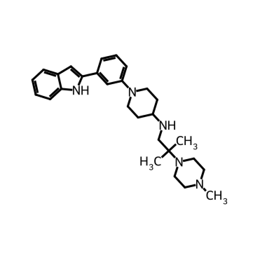 CN1CCN(C(C)(C)CNC2CCN(c3cccc(-c4cc5ccccc5[nH]4)c3)CC2)CC1